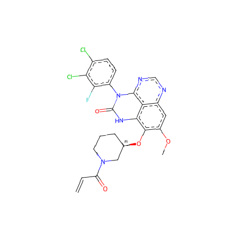 C=CC(=O)N1CCC[C@@H](Oc2c(OC)cc3ncnc4c3c2NC(=O)N4c2ccc(Cl)c(Cl)c2F)C1